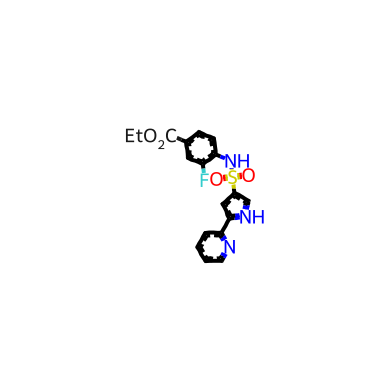 CCOC(=O)c1ccc(NS(=O)(=O)c2c[nH]c(-c3ccccn3)c2)c(F)c1